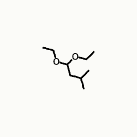 CCOC(CC(C)C)OCC